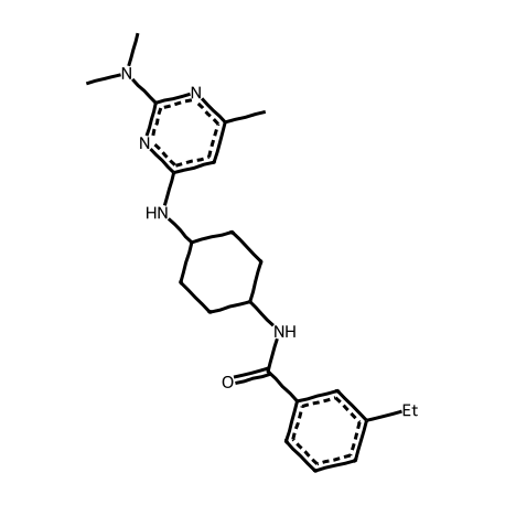 CCc1cccc(C(=O)NC2CCC(Nc3cc(C)nc(N(C)C)n3)CC2)c1